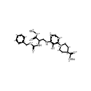 CCc1c(NCC(NC(=O)OCc2ccccc2)C(=O)OC(C)(C)C)ncnc1N1CCC(C(=O)OC)CC1